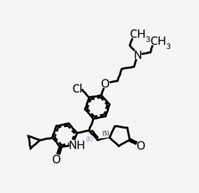 CCN(CC)CCCOc1ccc(/C(=C\[C@H]2CCC(=O)C2)c2ccc(C3CC3)c(=O)[nH]2)cc1Cl